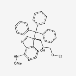 CCOC[C@@H](O)C[N@+]1(C(c2ccccc2)(c2ccccc2)c2ccccc2)C=Nc2c(NOC)ncnc21